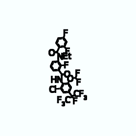 CCN(C(=O)c1ccc(F)cc1F)c1cccc(C(=O)Nc2c(Cl)cc(C(F)(C(F)(F)F)C(F)(F)F)cc2OC(F)F)c1F